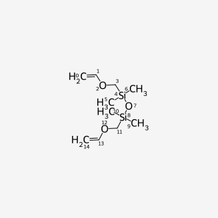 C=COC[Si](C)(C)O[Si](C)(C)COC=C